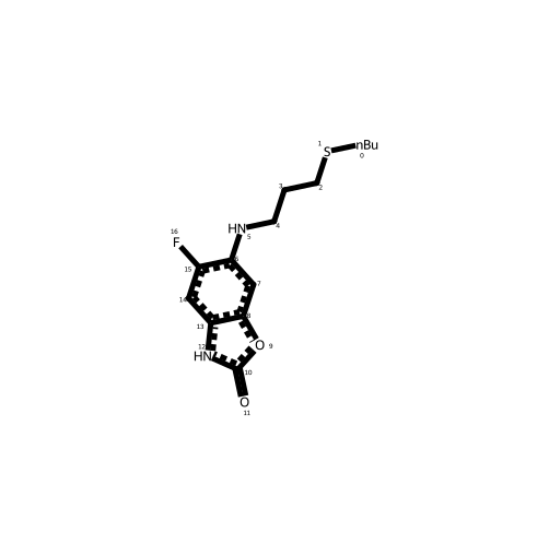 CCCCSCCCNc1cc2oc(=O)[nH]c2cc1F